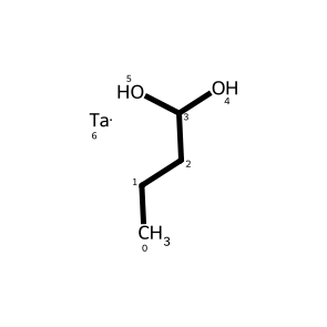 CCCC(O)O.[Ta]